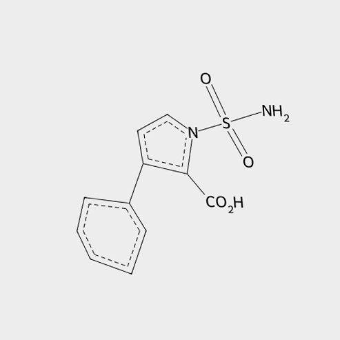 NS(=O)(=O)n1ccc(-c2ccccc2)c1C(=O)O